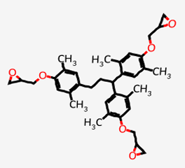 Cc1cc(OCC2CO2)c(C)cc1CCC(c1cc(C)c(OCC2CO2)cc1C)c1cc(C)c(OCC2CO2)cc1C